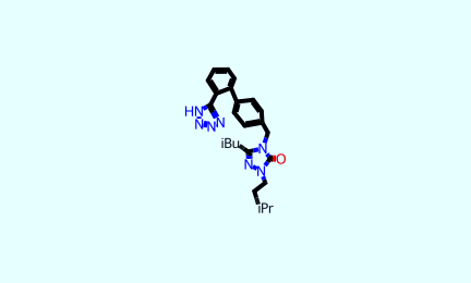 CCC(C)c1nn(CCC(C)C)c(=O)n1Cc1ccc(-c2ccccc2-c2nnn[nH]2)cc1